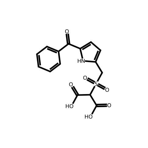 O=C(c1ccccc1)c1ccc(CS(=O)(=O)C(C(=O)O)C(=O)O)[nH]1